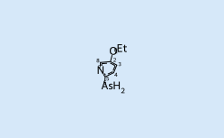 CCOc1ccc([AsH2])nc1